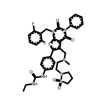 CCNC(=O)Nc1ccc(-c2sc3c(c2CN(C)CCN2CCCS2(=O)=O)c(=O)n(-c2ccccc2)c(=O)n3Cc2c(F)cccc2F)cc1